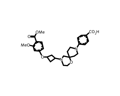 COC(=O)c1ccc(OC2CC(N3CCOC4(CCN(c5ccc(C(=O)O)cc5)CC4)C3)C2)cc1OC